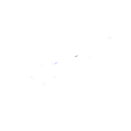 CCCOP(=O)(O)OC[C@H]1C[C@@H](n2cnc3c(N)ncnc32)[C@@H]1CO